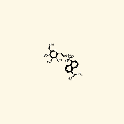 CN(C)c1cccc2c(S(=O)(=O)NCC[C@H]3O[C@H](CO)[C@H](O)[C@H](O)[C@H]3O)cccc12